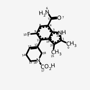 Cc1[nH]c2c(C(N)=O)cc(F)c(C3=CCCN(C(=O)O)C3)c2c1C